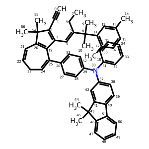 C#CC1=C(/C=C(\CC)C(C)(C)c2cc(C)ccc2C)C2=C(C=CCC=C2c2ccc(N(c3ccccc3)c3ccc4c(c3)C(C)(C)c3ccccc3-4)cc2)C1(C)C